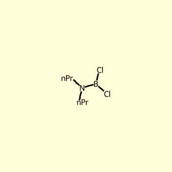 CCCN(CCC)B(Cl)Cl